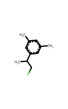 C[C](CF)c1cc(C)cc(C)c1